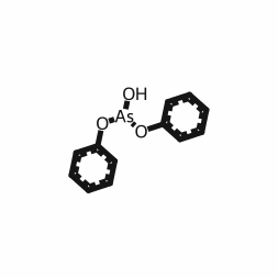 O[As](Oc1ccccc1)Oc1ccccc1